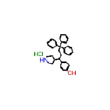 Cl.Oc1ccc(C(CCC(c2ccccc2)(c2ccccc2)c2ccccc2)C2CCNCC2)cc1